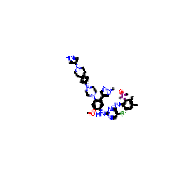 COc1cc(N2CCN(C3CC4(CCN(C5CNC5)CC4)C3)CC2)c(-c2cnn(C)c2)cc1Nc1ncc(Br)c(Nc2ccc(C)c(C)c2P(C)(C)=O)n1